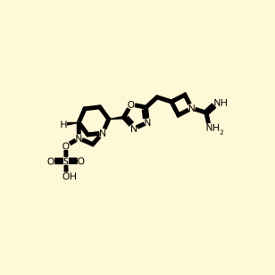 N=C(N)N1CC(Cc2nnc([C@@H]3CC[C@@H]4CN3CN4OS(=O)(=O)O)o2)C1